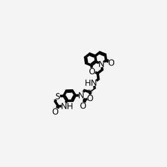 O=C1CSc2ccc(N3C[C@@H](CNCC4Cn5c(=O)ccc6cccc(c65)O4)OC3=O)cc2N1